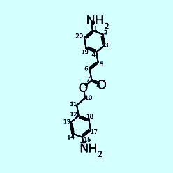 Nc1ccc(/C=C/C(=O)OCCc2ccc(N)cc2)cc1